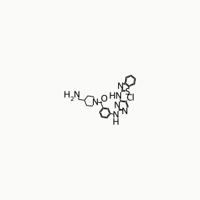 NCC1CCN(C(=O)c2cccc(Nc3ncc(Cl)c(Nc4nc5ccccc5s4)n3)c2)CC1